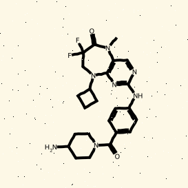 CN1C(=O)C(F)(F)CN(C2CCC2)c2nc(Nc3ccc(C(=O)N4CCC(N)CC4)cc3)ncc21